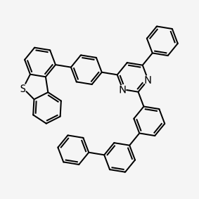 c1ccc(-c2cccc(-c3cccc(-c4nc(-c5ccccc5)cc(-c5ccc(-c6cccc7sc8ccccc8c67)cc5)n4)c3)c2)cc1